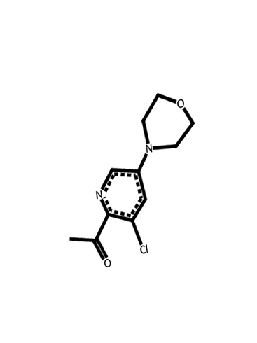 CC(=O)c1ncc(N2CCOCC2)cc1Cl